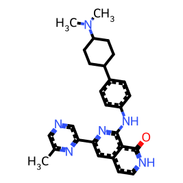 Cc1cncc(-c2cc3cc[nH]c(=O)c3c(Nc3ccc(C4CCC(N(C)C)CC4)cc3)n2)n1